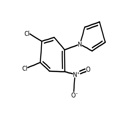 O=[N+]([O-])c1cc(Cl)c(Cl)cc1-n1cccc1